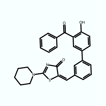 O=C1N=C(N2CCCCC2)S/C1=C/c1cccc(-c2ccc(O)c(C(=O)c3ccccc3)c2)c1